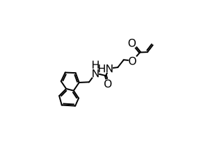 C=CC(=O)OCCNC(=O)NCc1cccc2ccccc12